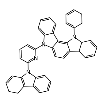 C1=CCCC(N2c3c(ccc4c3c3ccccc3n4-c3cccc(-n4c5c(c6ccccc64)CCC=C5)n3)C3C=CC=CC32)=C1